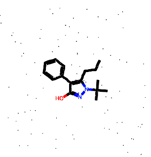 CCCc1c(-c2ccccc2)c(O)nn1C(C)(C)C